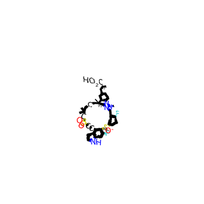 C[C@H](Cc1cccc([C@@]2(C)CCCC(C)(C)CS(=O)(=O)CCc3c(c(F)cc4[nH]ccc34)[S@@+]([O-])c3ccc(F)c(c3)-c3nc2nn3C)c1)C(=O)O